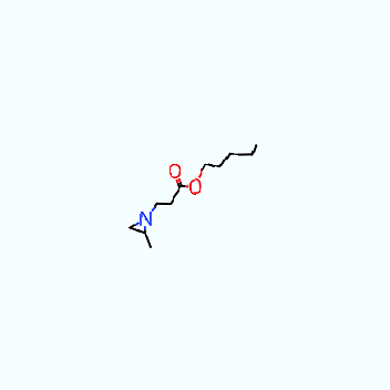 CCCCCOC(=O)CCN1CC1C